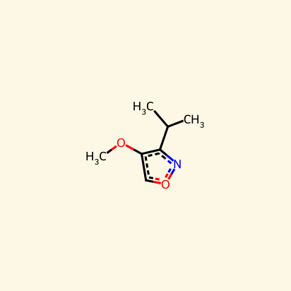 COc1conc1C(C)C